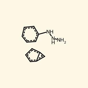 NNNc1ccccc1.c1cc2cc-2c1